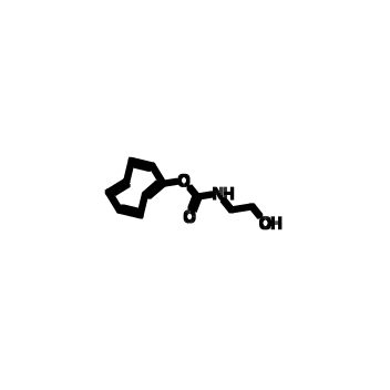 O=C(NCCO)OC1=C\C=C/C=C/C=C\1